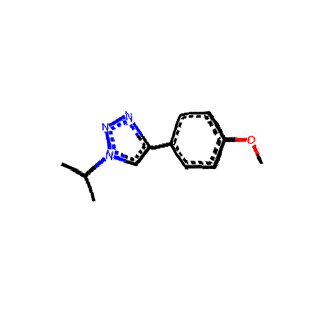 COc1ccc(-c2cn(C(C)C)nn2)cc1